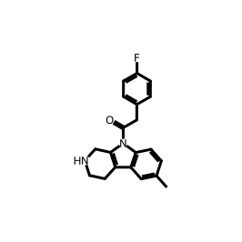 Cc1ccc2c(c1)c1c(n2C(=O)Cc2ccc(F)cc2)CNCC1